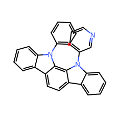 c1ccc(-n2c3ccccc3c3ccc4c5ccccc5n(-c5cccnc5)c4c32)cc1